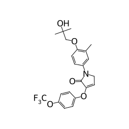 Cc1cc(N2CC=C(Oc3ccc(OC(F)(F)F)cc3)C2=O)ccc1OCC(C)(C)O